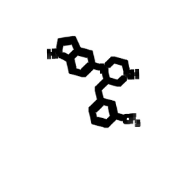 FC(F)(F)c1cccc(CC2CNCCN2c2ccc3[nH]ccc3c2)c1